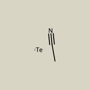 CC#N.[Te]